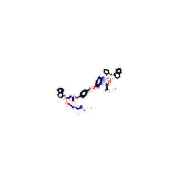 CN[C@@H](C)C(=O)N[C@H](C(=O)N1C[C@@H](NC(=O)c2ccc(COc3ccc(CN(NC(=O)[C@H](C)NC)C(=O)[C@H]4CCC[C@H]4C(=O)N[C@@H]4CCCc5ccccc54)cc3)cc2)CC1C(=O)N[C@@H]1CCCc2ccccc21)C(C)(C)C